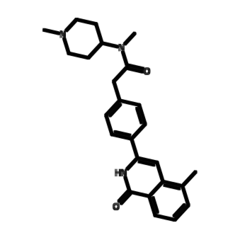 Cc1cccc2c(=O)[nH]c(-c3ccc(CC(=O)N(C)C4CCN(C)CC4)cc3)cc12